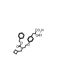 CCOC(Cc1ccc(OCCN(CC2CCC2)C(=O)OCc2ccccc2)cc1)C(=O)O